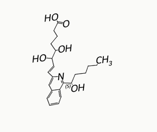 CCCCC[C@H](O)c1nc(C=CC(O)C(O)CCCC(=O)O)cc2ccccc12